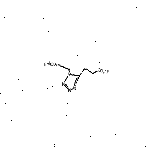 CCCCCCCn1nnnc1CCC(=O)O